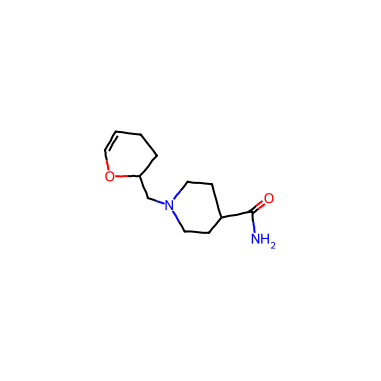 NC(=O)C1CCN(CC2CCC=CO2)CC1